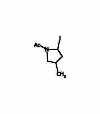 CC(=O)N1CC(C)CC1I